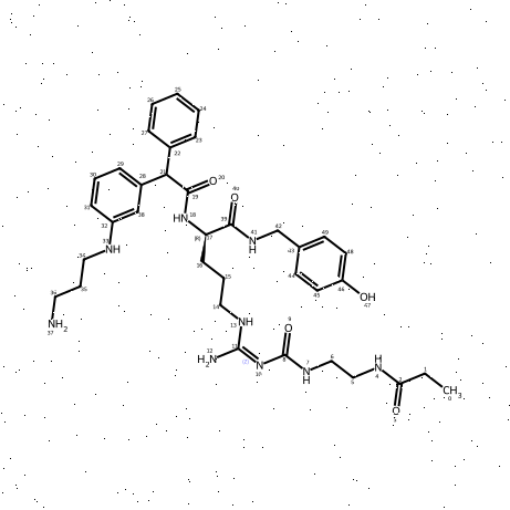 CCC(=O)NCCNC(=O)/N=C(/N)NCCC[C@@H](NC(=O)C(c1ccccc1)c1cccc(NCCCN)c1)C(=O)NCc1ccc(O)cc1